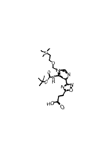 CC(C)(C)OC(=O)Nc1c(-c2noc(CCC(=O)O)n2)ncn1COCC[Si](C)(C)C